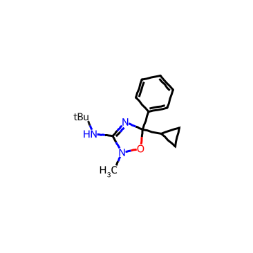 CN1OC(c2ccccc2)(C2CC2)N=C1NC(C)(C)C